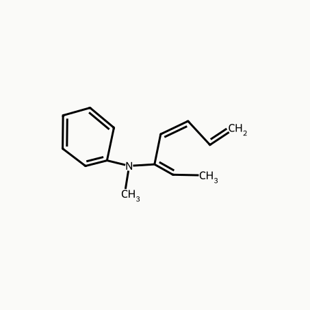 C=C/C=C\C(=C/C)N(C)c1ccccc1